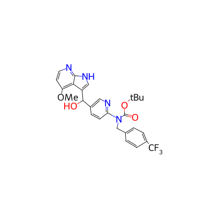 COc1ccnc2[nH]cc(C(O)c3ccc(N(Cc4ccc(C(F)(F)F)cc4)C(=O)OC(C)(C)C)nc3)c12